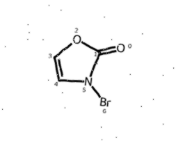 O=c1occn1Br